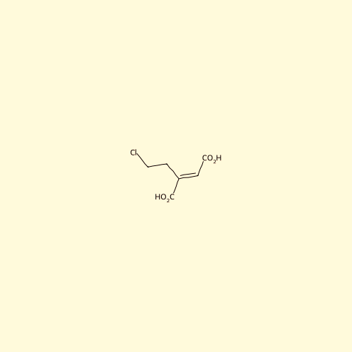 O=C(O)/C=C(\CCCl)C(=O)O